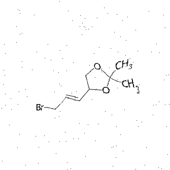 CC1(C)OCC(C=CCBr)O1